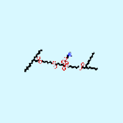 CCCCCCCCC(CCCCCC)CC(=O)OCCCCCCOC(=O)CCC(OC(=O)OCCN(C)C)C(=O)OCCCCCCOC(=O)CC(CCCCCC)CCCCCCCC